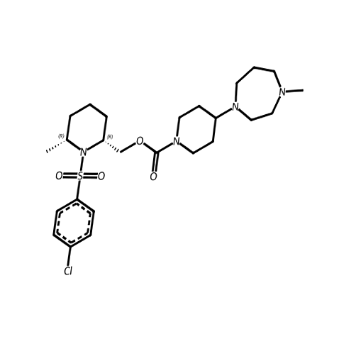 C[C@@H]1CCC[C@H](COC(=O)N2CCC(N3CCCN(C)CC3)CC2)N1S(=O)(=O)c1ccc(Cl)cc1